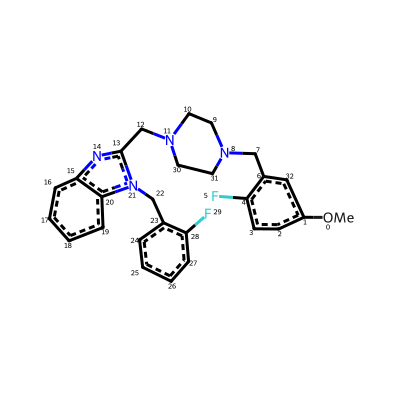 COc1ccc(F)c(CN2CCN(Cc3nc4ccccc4n3Cc3ccccc3F)CC2)c1